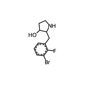 OC1CCNC1Cc1cccc(Br)c1F